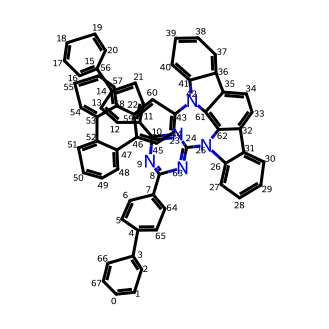 c1ccc(-c2ccc(-c3nc(-c4ccc(-c5ccccc5)cc4)nc(-n4c5ccccc5c5ccc6c7ccccc7n(-c7ccc8c9ccccc9c9ccccc9c8c7)c6c54)n3)cc2)cc1